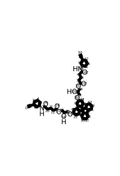 C#Cc1cccc(NC(=O)CCCC(=O)OCC(O)COc2ccc(C3(c4ccc(OCC(O)COC(=O)CCCC(=O)Nc5cccc(C#C)c5)cc4)c4ccccc4-c4ccccc43)cc2)c1